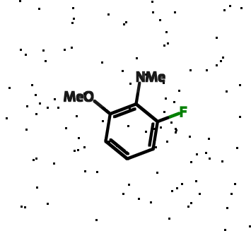 CNc1c(F)cccc1OC